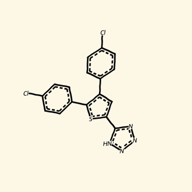 Clc1ccc(-c2cc(-c3nnn[nH]3)sc2-c2ccc(Cl)cc2)cc1